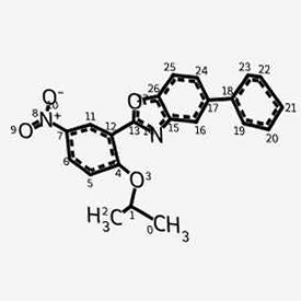 CC(C)Oc1ccc([N+](=O)[O-])cc1-c1nc2cc(-c3ccccc3)ccc2o1